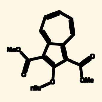 CCCCOc1c(C(=O)OC)c2cccccc-2c1C(=O)OC